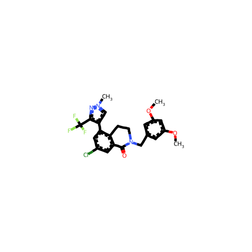 COc1cc(CN2CCc3c(cc(Cl)cc3-c3cn(C)nc3C(F)(F)F)C2=O)cc(OC)c1